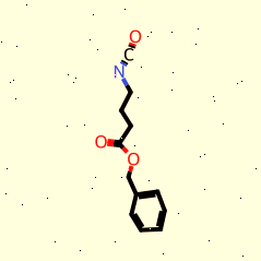 O=C=NCCCC(=O)OCc1ccccc1